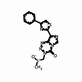 C[S+]([O-])Cn1nnc2c(-c3nc(-c4ccccc4)cs3)ncn2c1=O